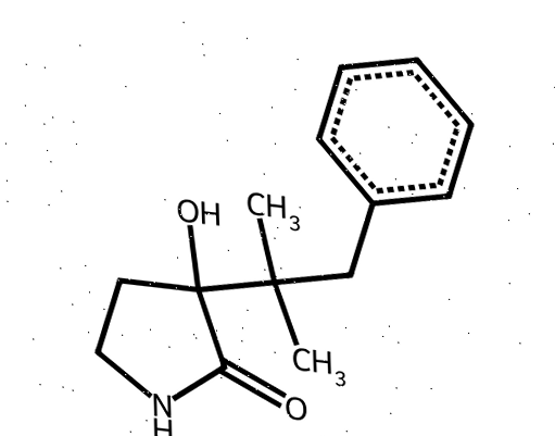 CC(C)(Cc1ccccc1)C1(O)CCNC1=O